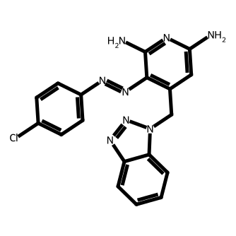 Nc1cc(Cn2nnc3ccccc32)c(N=Nc2ccc(Cl)cc2)c(N)n1